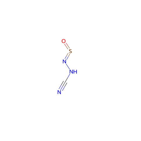 N#CNN=S=O